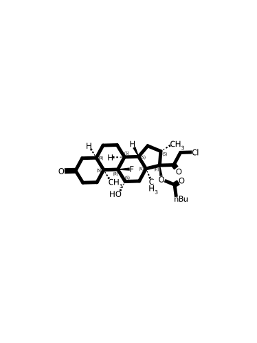 CCCCC(=O)O[C@]1(C(=O)CCl)[C@@H](C)C[C@H]2[C@@H]3CC[C@@H]4CC(=O)CC[C@]4(C)[C@@]3(F)[C@@H](O)C[C@@]21C